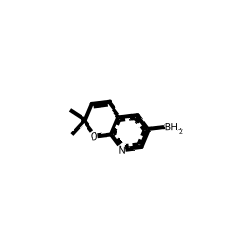 Bc1cnc2c(c1)C=CC(C)(C)O2